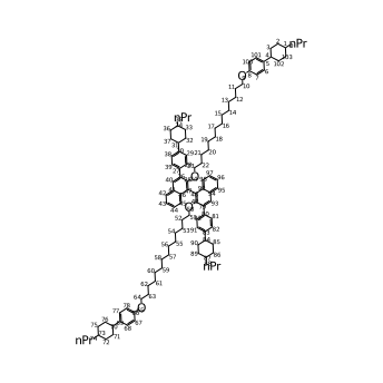 CCCC1CCC(c2ccc(OCCCCCCCCCCCCCCOc3c(-c4ccc(C5CCC(CCC)CC5)cc4)cc4ccccc4c3-c3c(OCCCCCCCCCCCCCCOc4ccc(C5CCC(CCC)CC5)cc4)c(-c4ccc(C5CCC(CCC)CC5)cc4)cc4ccccc34)cc2)CC1